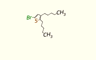 CCCCCc1cc(Br)sc1CCCCC